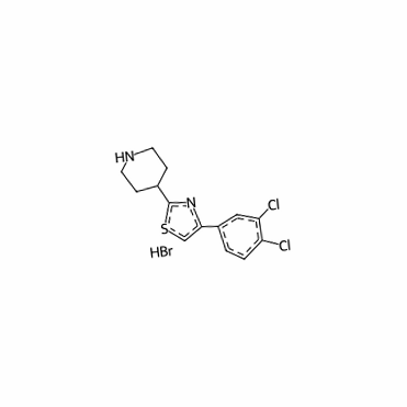 Br.Clc1ccc(-c2csc(C3CCNCC3)n2)cc1Cl